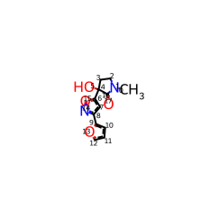 CN1CCC(O)(c2cc(-c3ccco3)no2)C1=O